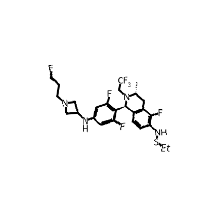 CCSNc1ccc2c(c1F)C[C@@H](C)N(CC(F)(F)F)[C@@H]2c1c(F)cc(NC2CN(CCCF)C2)cc1F